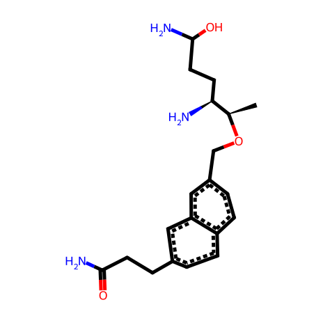 C[C@@H](OCc1ccc2ccc(CCC(N)=O)cc2c1)[C@@H](N)CCC(N)O